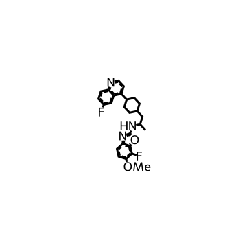 COc1ccc2nc(NC(C)CC3CCC(c4ccnc5ccc(F)cc45)CC3)oc2c1F